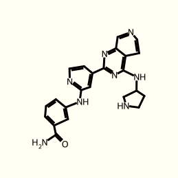 NC(=O)c1cccc(Nc2cc(-c3nc(NC4CCNC4)c4ccncc4n3)ccn2)c1